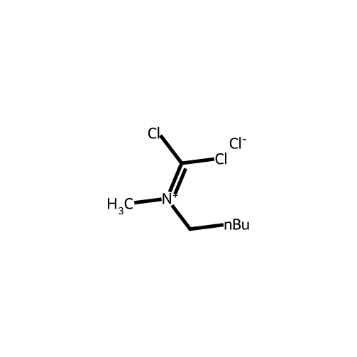 CCCCC[N+](C)=C(Cl)Cl.[Cl-]